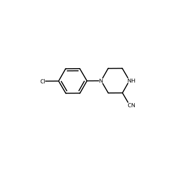 N#CC1CN(c2ccc(Cl)cc2)CCN1